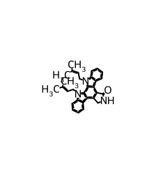 CC(C)=CCn1c2ccccc2c2c3c(c4c5ccccc5n(CC=C(C)C)c4c21)C(=O)NC3